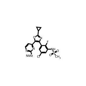 CNc1nccc(-c2oc(C3CC3)nc2-c2cc(Cl)cc(NS(C)(=O)=O)c2F)n1